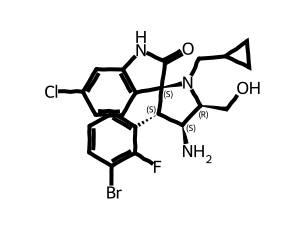 N[C@@H]1[C@H](CO)N(CC2CC2)[C@@]2(C(=O)Nc3cc(Cl)ccc32)[C@H]1c1cccc(Br)c1F